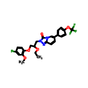 CCOC(COc1ccc(F)cc1OC)Cn1nc2ccc(-c3ccc(OC(F)(F)F)cc3)cn2c1=O